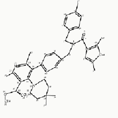 Cc1cc(C(=O)N(Cc2ccc(F)cc2)Cc2ccc(-c3c(C)nc(C)c([C@H](OC(C)(C)C)C(=O)O)c3N3CCC(C)(C)CC3)cc2)c(C)o1